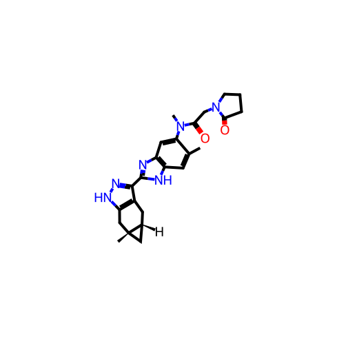 Cc1cc2[nH]c(-c3n[nH]c4c3C[C@@H]3C[C@]3(C)C4)nc2cc1N(C)C(=O)CN1CCCC1=O